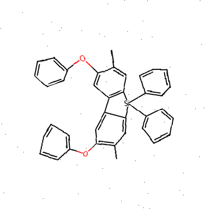 Cc1cc2c(cc1Oc1ccccc1)-c1cc(Oc3ccccc3)c(C)cc1[Si]2(c1ccccc1)c1ccccc1